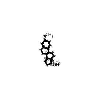 COc1ccc2c(c1)CCC1=C2CC[C@@]2(C)C1=CC[C@H]2O